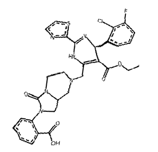 CCOC(=O)C1=C(CN2CCN3C(=O)N(c4ccccc4C(=O)O)CC3C2)NC(c2nccs2)=N[C@H]1c1cccc(F)c1Cl